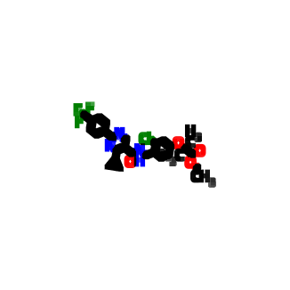 CCOC(=O)C(C)(C)Oc1ccc(CNC(=O)c2cnc(-c3ccc(C(F)(F)F)cc3)nc2C2CC2)c(Cl)c1